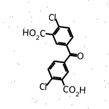 O=C(c1ccc(Cl)c(C(=O)O)c1)c1ccc(Cl)c(C(=O)O)c1